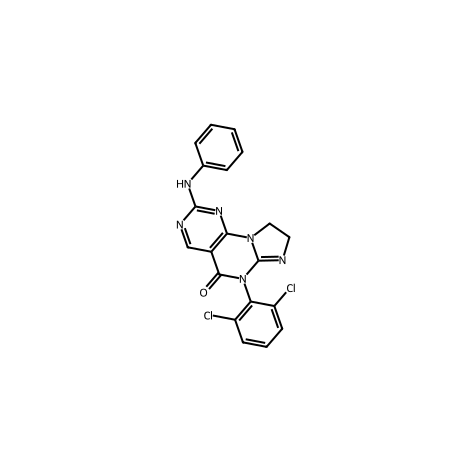 O=C1c2cnc(Nc3ccccc3)nc2N2CCN=C2N1c1c(Cl)cccc1Cl